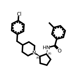 Cc1cccc(C(=O)N[C@@H]2CCC[C@H]2N2CCC(Cc3ccc(Cl)cc3)CC2)c1